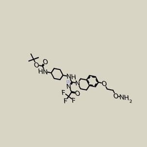 CC(C)(C)OC(=O)NC1CCC(N/C(=N/C(=O)C(F)(F)F)N2CCc3cc(OCCON)ccc3C2)CC1